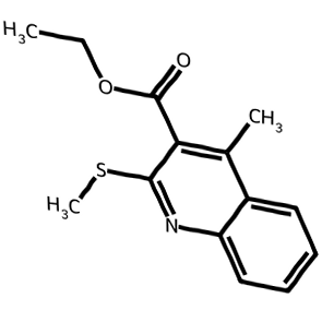 CCOC(=O)c1c(SC)nc2ccccc2c1C